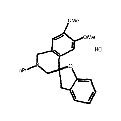 CCCN1Cc2cc(OC)c(OC)cc2C2(Cc3ccccc3O2)C1.Cl